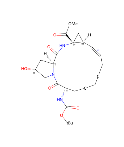 COC(=O)[C@@]12C[C@H]1/C=C\CCCCC[C@H](NC(=O)OC(C)(C)C)C(=O)N1C[C@H](O)C[C@H]1C(=O)N2